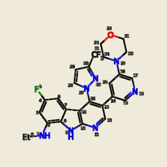 CCNc1cc(F)cc2c1[nH]c1ncc(-c3cncc(N4CCOCC4)c3)c(-n3ccc(C(F)(F)F)n3)c12